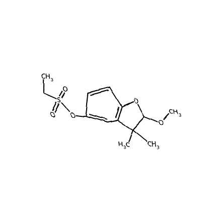 CCS(=O)(=O)Oc1ccc2c(c1)C(C)(C)C(OC)O2